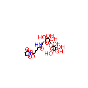 O=C(CCCCC(=O)ON1C(=O)CCC1=O)NCC[C@H]1O[C@H](CO[C@H]2O[C@H](CO)[C@@H](O)[C@H](O)[C@@H]2O)[C@@H](O)[C@H](O)[C@@H]1O